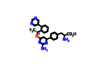 Nc1nc(O[C@@H](c2ccccc2-c2cncnc2)C(F)(F)F)cc(-c2ccc(CC(N)C(=O)O)cc2)n1